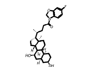 C[C@H](CCC(=O)N1COc2cc(F)ccc21)[C@H]1CC[C@H]2[C@@H]3[C@H](O)C[C@@H]4C[C@H](O)CC[C@]4(C)[C@H]3CC[C@]12C